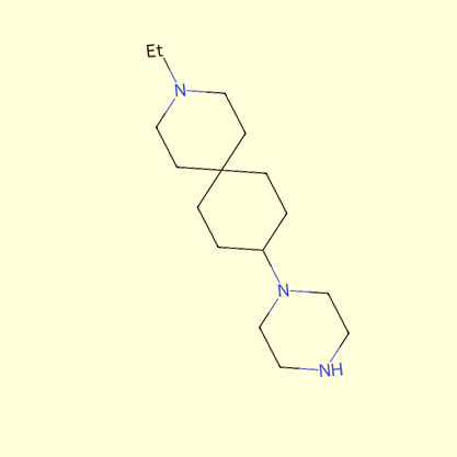 CCN1CCC2(CCC(N3CCNCC3)CC2)CC1